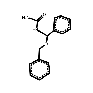 NC(=O)NC(OCc1ccccc1)c1ccccc1